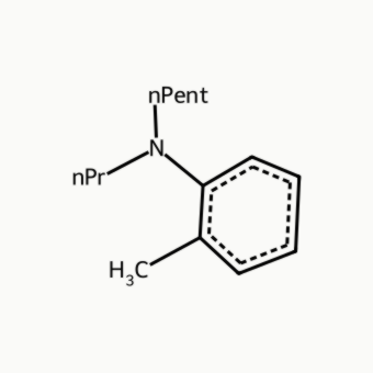 CCCCCN(CCC)c1ccccc1C